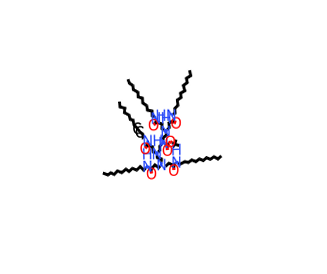 CCCCCCCCCCCCNC(=O)CCN(CCC(=O)NCCCCCCCCCCCC)CCN(CCC(=O)NCCCCCCCCCCCC)CCN(CCN(CCC(=O)NCCCCCCCCCCCC)CCC(=O)NCCCCCCCCCCCC)C(=O)OC(C)(C)C